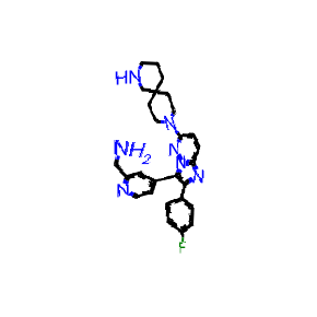 NCc1cc(-c2c(-c3ccc(F)cc3)nc3ccc(N4CCC5(CCCNC5)CC4)nn23)ccn1